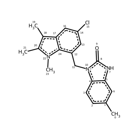 Cc1ccc2c(c1)[nH]c(=O)n2Cc1cc(Cl)cc2c(C)c(C)n(C)c12